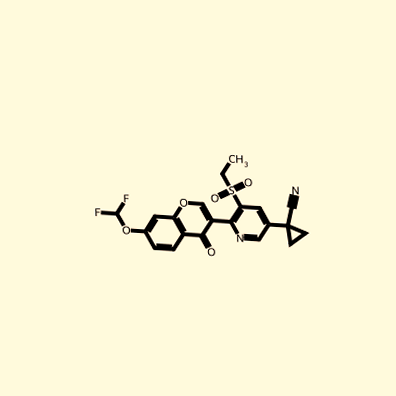 CCS(=O)(=O)c1cc(C2(C#N)CC2)cnc1-c1coc2cc(OC(F)F)ccc2c1=O